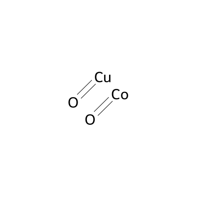 [O]=[Co].[O]=[Cu]